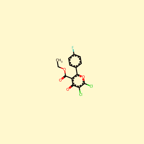 CCOC(=O)c1c(-c2ccc(F)cc2)oc(Cl)c(Cl)c1=O